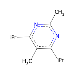 Cc1nc(C(C)C)c(C)c(C(C)C)n1